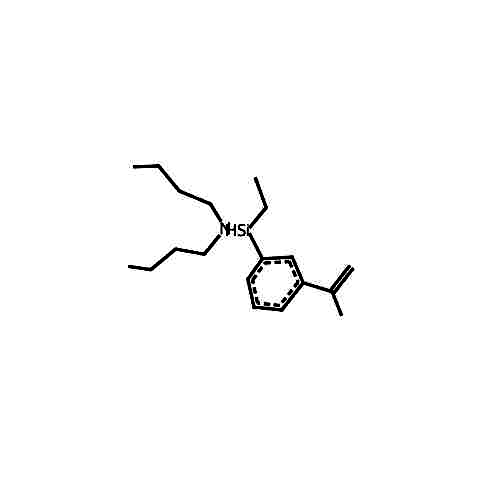 C=C(C)c1cccc([SiH](CC)N(CCCC)CCCC)c1